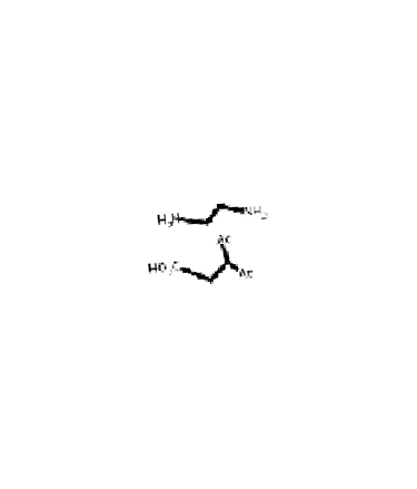 CC(=O)C(CC(=O)O)C(C)=O.NCCN